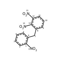 O=[N+]([O-])c1ccccc1Cc1cccc([N+](=O)[O-])c1[N+](=O)[O-]